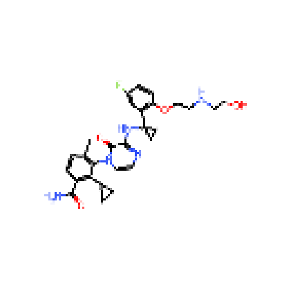 Cc1ccc(C(N)=O)c(C2CC2)c1-n1ccnc(NC2(c3cc(F)ccc3OCCNCCO)CC2)c1=O